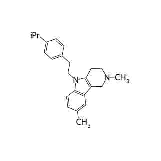 Cc1ccc2c(c1)c1c(n2CCc2ccc(C(C)C)cc2)CCN(C)C1